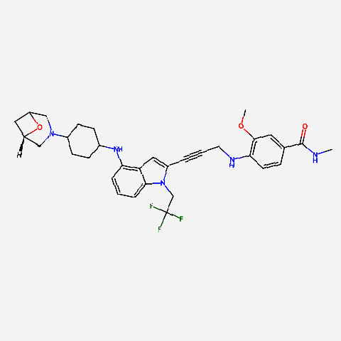 CNC(=O)c1ccc(NCC#Cc2cc3c(NC4CCC(N5CC6C[C@@H](C5)O6)CC4)cccc3n2CC(F)(F)F)c(OC)c1